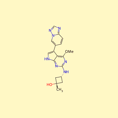 COc1nc(N[C@H]2C[C@@](C)(O)C2)nc2[nH]cc(-c3ccc4ncnn4c3)c12